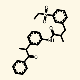 CCS(=O)(=O)c1cccc(CC(C)C(=O)Nc2cccc(C(C)C(=O)c3ccccc3)c2)c1